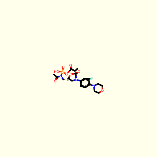 CCC(=O)OP(=O)(O)N(C[C@H]1CN(c2ccc(N3CCOCC3)c(F)c2)C(=O)O1)C(C)=O